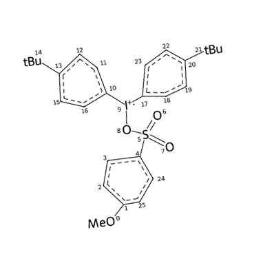 COc1ccc(S(=O)(=O)O[I+](c2ccc(C(C)(C)C)cc2)c2ccc(C(C)(C)C)cc2)cc1